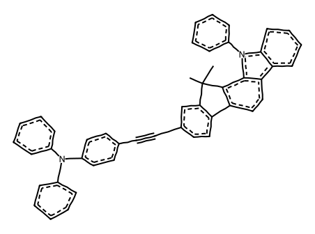 CC1(C)c2cc(C#Cc3ccc(N(c4ccccc4)c4ccccc4)cc3)ccc2-c2ccc3c4ccccc4n(-c4ccccc4)c3c21